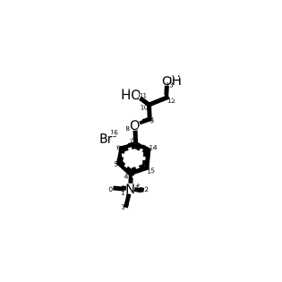 C[N+](C)(C)c1ccc(OCC(O)CO)cc1.[Br-]